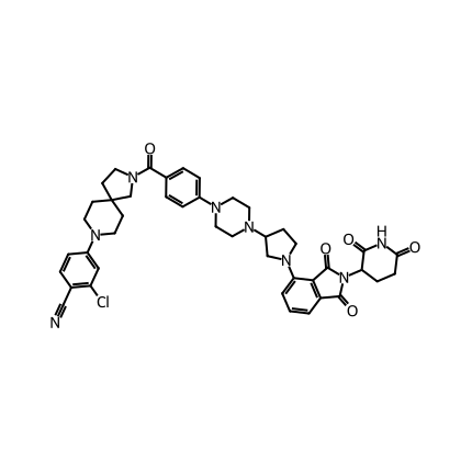 N#Cc1ccc(N2CCC3(CCN(C(=O)c4ccc(N5CCN(C6CCN(c7cccc8c7C(=O)N(C7CCC(=O)NC7=O)C8=O)C6)CC5)cc4)C3)CC2)cc1Cl